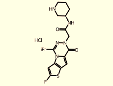 CC(C)c1nn(CC(=O)N[C@@H]2CCCNC2)c(=O)c2cc3sc(F)cc3n12.Cl